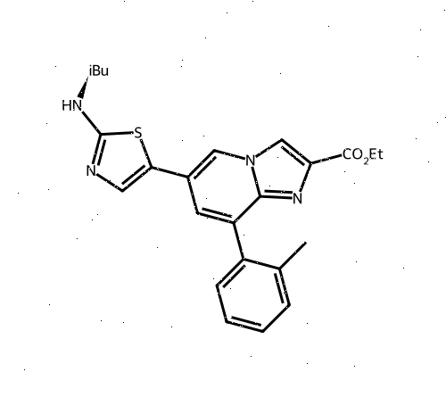 CCOC(=O)c1cn2cc(-c3cnc(N[C@H](C)CC)s3)cc(-c3ccccc3C)c2n1